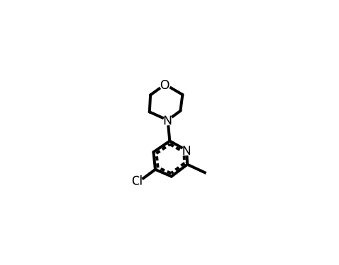 Cc1cc(Cl)cc(N2CCOCC2)n1